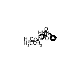 CC(C)(C)OC(=O)N1CCC2(CC1)NC(=O)N(Cc1ccccc1)C2=O